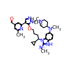 C/N=c1\[nH]c2ccc(N(C)C3CCN(C)CC3)cc2n1C(CCCOc1c(-c2cc(C=O)cc(C)n2)cnn1C)C1CC1